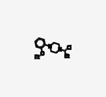 CCOc1ccccc1N1CCN(C(Cl)CC)CC1